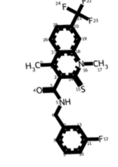 Cc1c(C(=O)NCc2cccc(F)c2)c(=S)n(C)c2cc(C(F)(F)F)ccc12